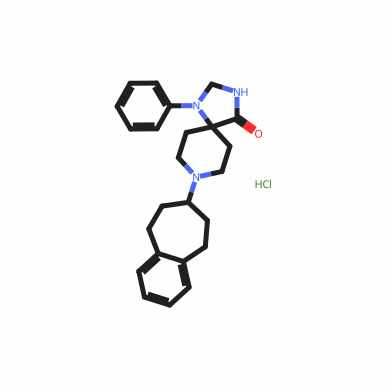 Cl.O=C1NCN(c2ccccc2)C12CCN(C1CCc3ccccc3CC1)CC2